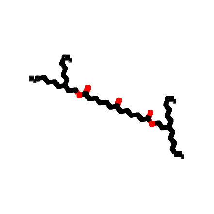 CCCCCC(CCCCC)CCOC(=O)CCCCCC(=O)CCCCCC(=O)OCCC(CCCCC)CCCCC